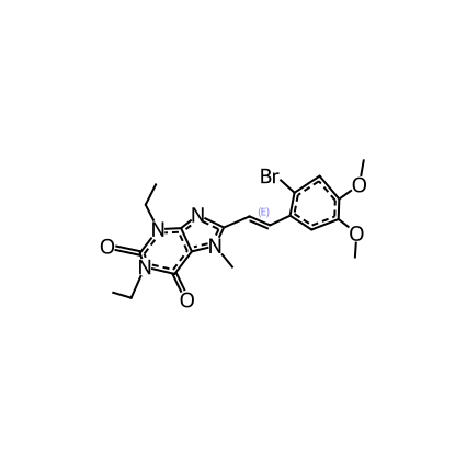 CCn1c(=O)c2c(nc(/C=C/c3cc(OC)c(OC)cc3Br)n2C)n(CC)c1=O